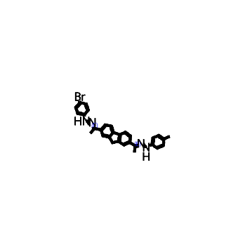 C/C(=N\Nc1ccc(C)cc1)c1ccc2c(c1)Cc1cc(/C(C)=N/Nc3ccc(Br)cc3)ccc1-2